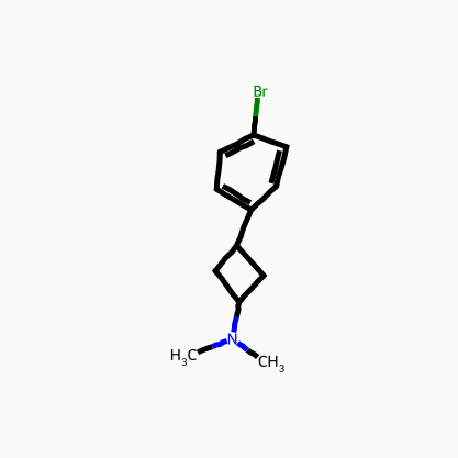 CN(C)C1CC(c2ccc(Br)cc2)C1